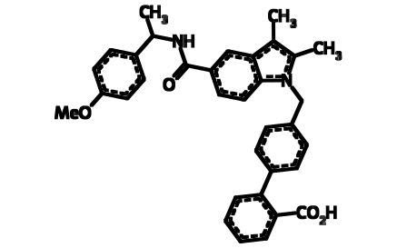 COc1ccc(C(C)NC(=O)c2ccc3c(c2)c(C)c(C)n3Cc2ccc(-c3ccccc3C(=O)O)cc2)cc1